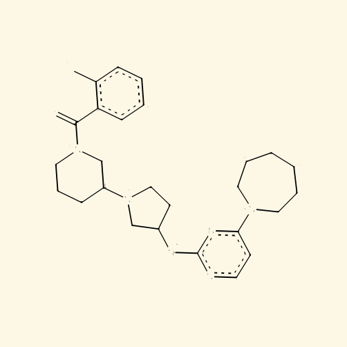 O=C(c1ccccc1Cl)N1CCCC(N2CCC(Nc3nccc(N4CCCCCC4)n3)C2)C1